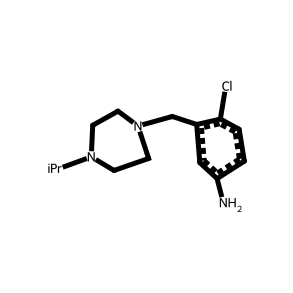 CC(C)N1CCN(Cc2cc(N)ccc2Cl)CC1